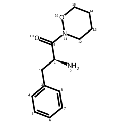 N[C@@H](Cc1ccccc1)C(=O)N1CCCCO1